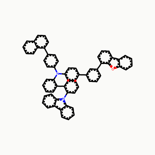 c1cc(-c2ccc(N(c3ccc(-c4cccc5ccccc45)cc3)c3ccccc3-c3ccccc3-n3c4ccccc4c4ccccc43)cc2)cc(-c2cccc3c2oc2ccccc23)c1